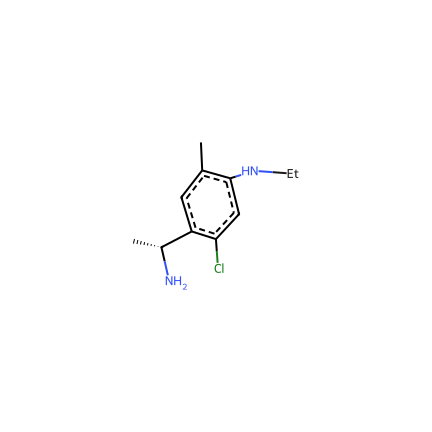 CCNc1cc(Cl)c([C@@H](C)N)cc1C